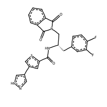 O=C(N[C@@H](Cc1ccc(F)c(F)c1)CN1C(=O)c2ccccc2C1=O)c1cc(-c2cn[nH]c2)cs1